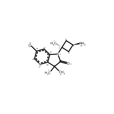 CC1(C)C(=O)N([C@]2(C)C[C@H](N)C2)c2cc(Cl)cnc21